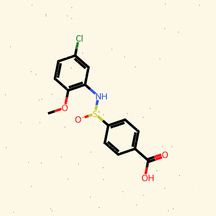 COc1ccc(Cl)cc1N[S+]([O-])c1ccc(C(=O)O)cc1